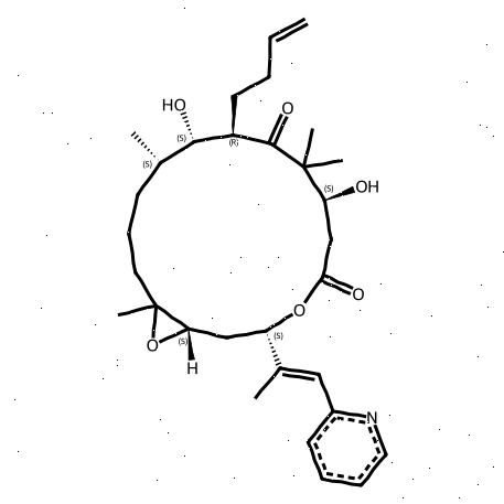 C=CCC[C@H]1C(=O)C(C)(C)[C@@H](O)CC(=O)O[C@H](C(C)=Cc2ccccn2)C[C@@H]2OC2(C)CCC[C@H](C)[C@@H]1O